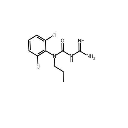 CCCN(C(=O)NC(=N)N)c1c(Cl)cccc1Cl